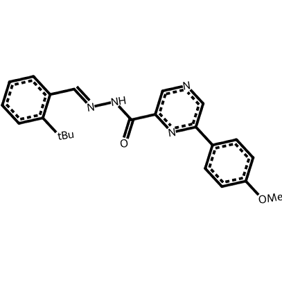 COc1ccc(-c2cncc(C(=O)N/N=C/c3ccccc3C(C)(C)C)n2)cc1